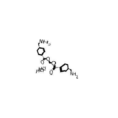 Cl.Cl.NC[C@H]1CC[C@H](C(=O)OCOC(=O)[C@H]2CC[C@H](CN)CC2)CC1